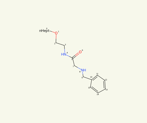 CCCCCCCOCCNC(=O)CNCc1ccccc1